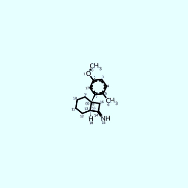 COc1ccc(C)c([C@]23CCCC[C@@H]2C(=N)C3)c1